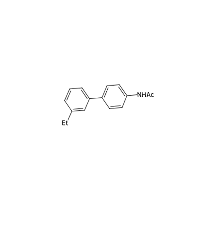 CCc1cccc(-c2ccc(NC(C)=O)cc2)c1